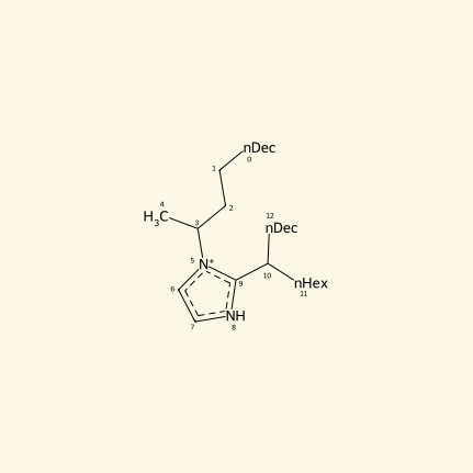 CCCCCCCCCCCCC(C)[n+]1cc[nH]c1C(CCCCCC)CCCCCCCCCC